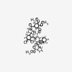 COC(=O)C1CCCN1C(=O)NC1(c2ccccc2)CCN(CCC2(c3ccc(Cl)c(Cl)c3)CCN(C(=O)c3cc(OC)c(OC)c(OC)c3)C2)CC1